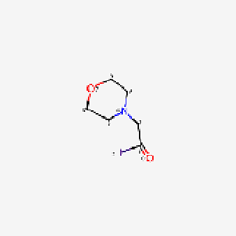 O=C(I)CN1CCOCC1